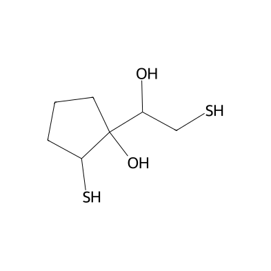 OC(CS)C1(O)CCCC1S